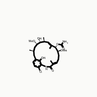 CO[C@H]1C[C@H](C)Cc2ccc(Cl)c(c2O)NC(=O)/C(C)=C/CC[C@H](OC)[C@@H](OC(N)=O)/C(C)=C/[C@H](C)[C@H]1O